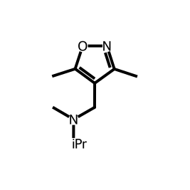 Cc1noc(C)c1CN(C)C(C)C